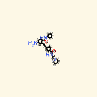 Nc1ccc(C(=O)Nc2ccccc2)c(C#Cc2ccc(C(=O)NCCN3CCCCC3)cc2)c1